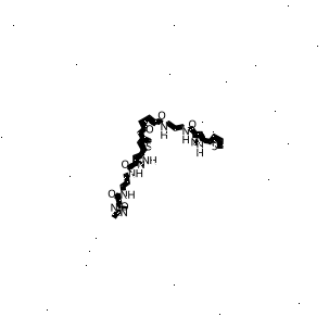 Cc1noc(C(=O)NCCCNC(=O)c2cc(-c3cc(Cc4ccc(C(=O)NCCCNC(=O)c5cc(-c6cccs6)[nH]n5)o4)cs3)[nH]n2)n1